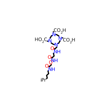 CC(C)CCCCNC(=O)CONC(=O)CCNC(=O)CN1CCN(CC(=O)O)CCN(CC(=O)O)CCN(CC(=O)O)CC1